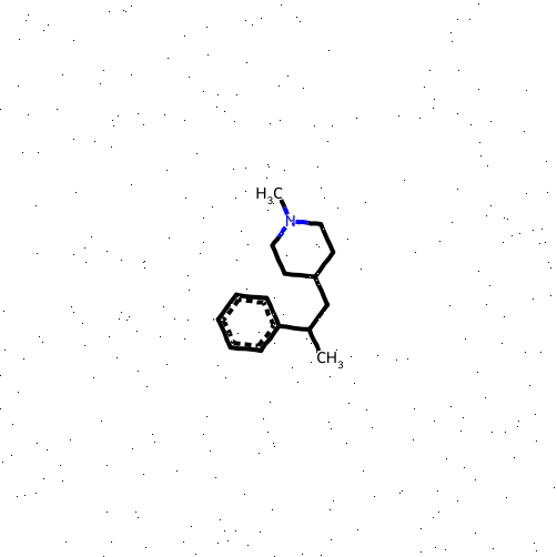 CC(CC1CCN(C)CC1)c1cc[c]cc1